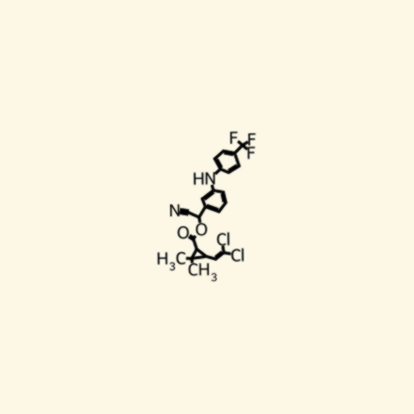 CC1(C)C(C=C(Cl)Cl)C1C(=O)OC(C#N)c1cccc(Nc2ccc(C(F)(F)F)cc2)c1